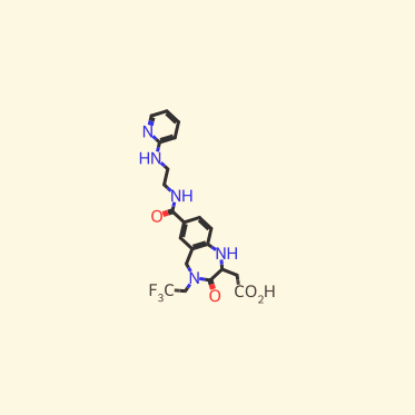 O=C(O)CC1Nc2ccc(C(=O)NCCNc3ccccn3)cc2CN(CC(F)(F)F)C1=O